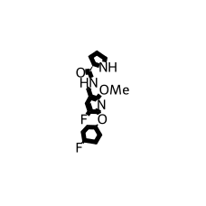 COc1nc(O[C@H]2CC[C@H](F)CC2)c(F)cc1CNC(=O)[C@@H]1CCCN1